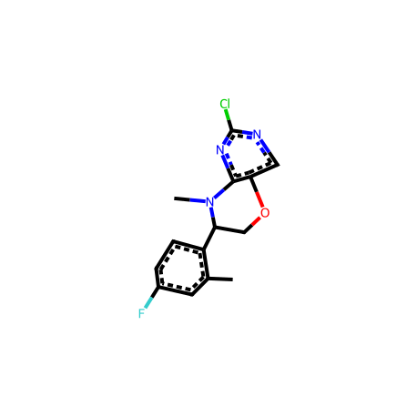 Cc1cc(F)ccc1C1COc2cnc(Cl)nc2N1C